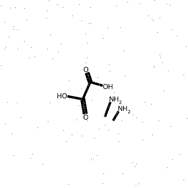 CN.CN.O=C(O)C(=O)O